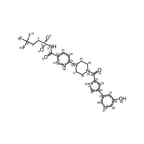 O=C(NS(=O)(=O)CCC(F)(F)F)c1ccc(N2CCN(C(=O)c3cc(-c4cncc(O)c4)cs3)CC2)nn1